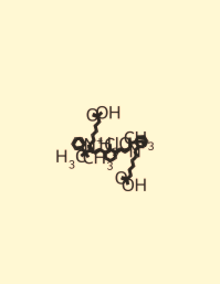 CC1(C)C(/C=C/C2=C(Cl)C(=C/C=C3/N(CCCCCC(=O)O)C4C5=CC=CC4(C5)C3(C)C)/CCC2)=[N+](CCCCCC(=O)O)c2ccccc21